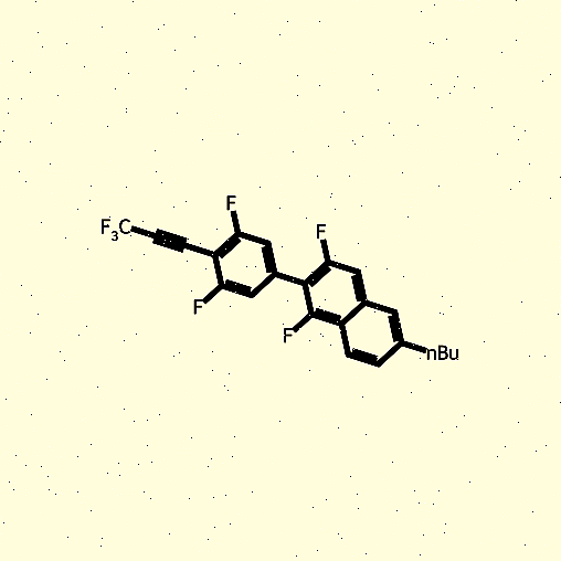 CCCCc1ccc2c(F)c(-c3cc(F)c(C#CC(F)(F)F)c(F)c3)c(F)cc2c1